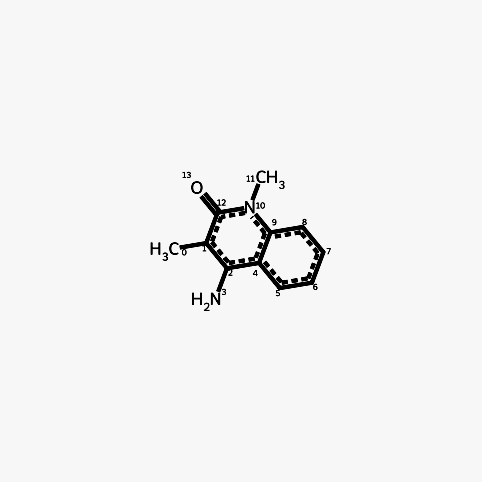 Cc1c(N)c2ccccc2n(C)c1=O